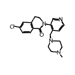 CN1CCN(Cc2ccncc2N2CCc3cc(Cl)ccc3C2=O)CC1